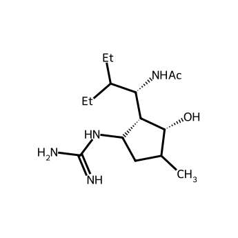 CCC(CC)[C@H](NC(C)=O)[C@H]1C(NC(=N)N)CC(C)[C@H]1O